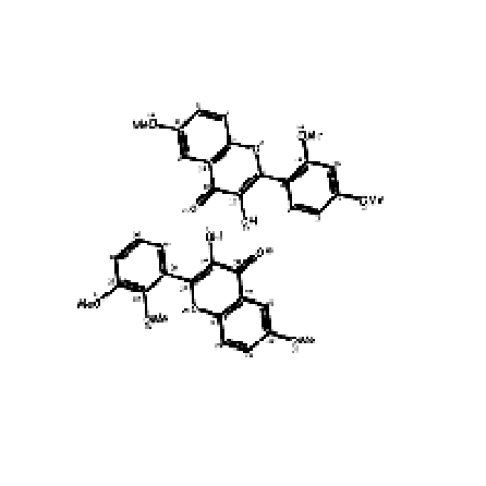 COc1ccc(-c2oc3ccc(OC)cc3c(=O)c2O)c(OC)c1.COc1ccc2oc(-c3cccc(OC)c3OC)c(O)c(=O)c2c1